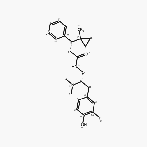 CN(C)[C@H](CNC(=O)C[C@H](c1cccnc1)C1(C(F)(F)F)CC1)Cc1ccc(O)c(F)c1